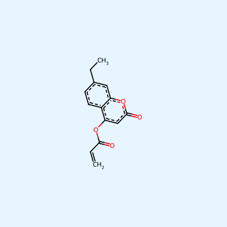 C=CC(=O)Oc1cc(=O)oc2cc(CC)ccc12